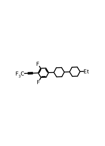 CCC1CCC(C2CCC(c3cc(F)c(C#CC(F)(F)F)c(F)c3)CC2)CC1